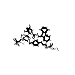 C[C@@H](OCc1ccc(CCCNC(=O)OC(C)(C)C)cc1)[C@H](CCC(N)=O)NC(=O)[C@@H]1[C@@H]2C[C@@H]2CN1C(=O)OCC1c2ccccc2-c2ccccc21